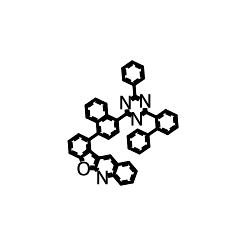 c1ccc(-c2nc(-c3ccccc3-c3ccccc3)nc(-c3ccc(-c4cccc5oc6nc7ccccc7cc6c45)c4ccccc34)n2)cc1